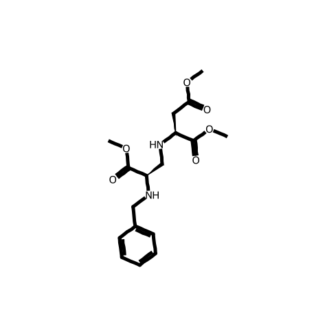 COC(=O)C[C@H](NC[C@@H](NCc1ccccc1)C(=O)OC)C(=O)OC